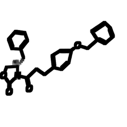 O=C(CCc1ccc(OCc2ccccc2)cc1)N1C(=O)OC[C@@H]1Cc1ccccc1